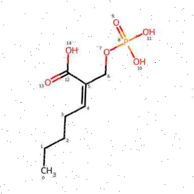 CCCCC=C(COP(=O)(O)O)C(=O)O